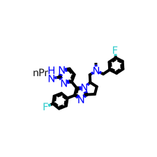 CCCNc1nccc(-c2c(-c3ccc(F)cc3)nc3n2C(CN(C)Cc2cccc(F)c2)CC3)n1